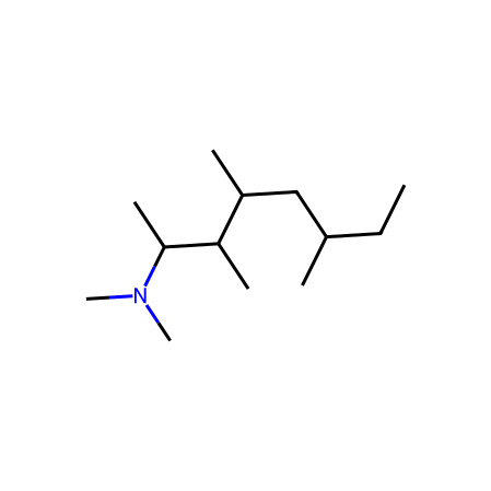 CCC(C)CC(C)C(C)C(C)N(C)C